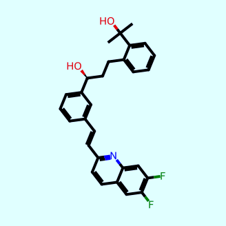 CC(C)(O)c1ccccc1CC[C@H](O)c1cccc(C=Cc2ccc3cc(F)c(F)cc3n2)c1